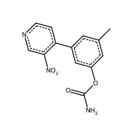 Cc1cc(OC(N)=O)cc(-c2ccncc2[N+](=O)[O-])c1